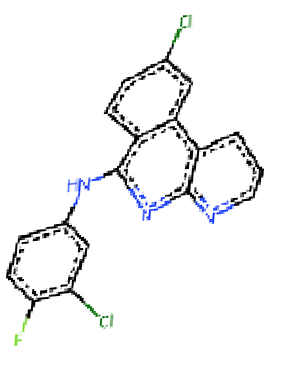 Fc1ccc(Nc2nc3ncccc3c3cc(Cl)ccc23)cc1Cl